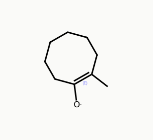 C/C1=C(\[O])CCCCCC1